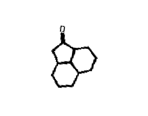 O=C1CC2CCCC3CCCC1C32